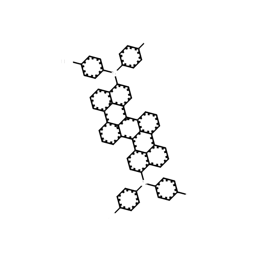 Cc1ccc(N(c2ccc(C)cc2)c2ccc3c4c2cccc4c2cccc4c2c3c2cccc3c5cccc6c(N(c7ccc(C)cc7)c7ccc(C)cc7)ccc(c65)c4c32)cc1